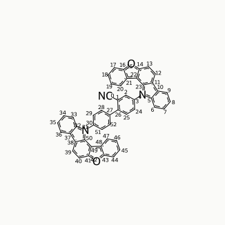 N#Cc1cc(-n2c3ccccc3c3ccc4oc5ccccc5c4c32)ccc1-c1ccc(-n2c3ccccc3c3ccc4oc5ccccc5c4c32)cc1